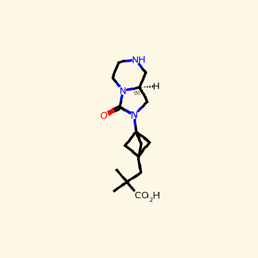 CC(C)(CC12CC(N3C[C@@H]4CNCCN4C3=O)(C1)C2)C(=O)O